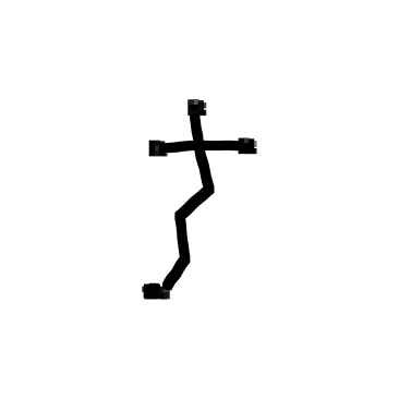 CCC(CC)(CC)CCCC(C)(C)C